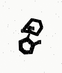 Clc1ccccc1[C@@]12CCCC[C@@H]1O2